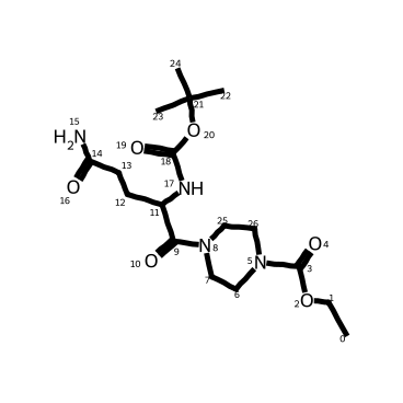 CCOC(=O)N1CCN(C(=O)C(CCC(N)=O)NC(=O)OC(C)(C)C)CC1